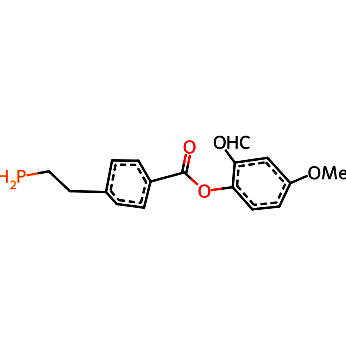 COc1ccc(OC(=O)c2ccc(CCP)cc2)c(C=O)c1